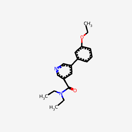 CCOc1cccc(-c2cncc(C(=O)N(CC)CC)c2)c1